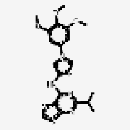 COc1cc(-n2cnc(Nc3nc(C(C)C)nc4scnc34)c2)cc(OC)c1OC